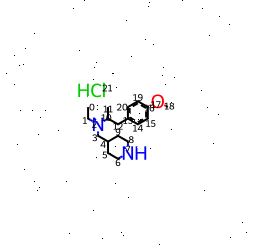 CCN(CC1CCNCC1)C(C)Cc1ccc(OC)cc1.Cl